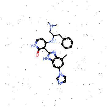 Cc1cc(-n2ccnc2)cc2[nH]c(-c3c(NC(Cc4ccccc4)CN(C)C)cc[nH]c3=O)nc12